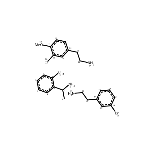 CC(N)c1ccccc1C(F)(F)F.COc1ccc(CCN)cc1Cl.NCCc1cccc(Br)c1